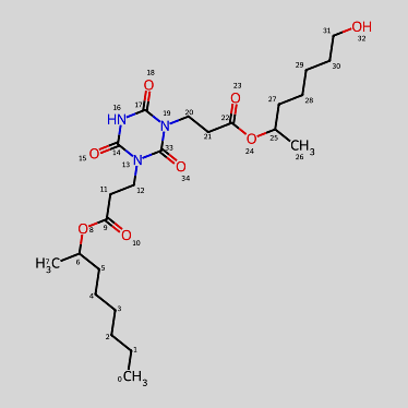 CCCCCCC(C)OC(=O)CCn1c(=O)[nH]c(=O)n(CCC(=O)OC(C)CCCCCO)c1=O